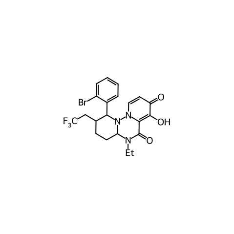 CCN1C(=O)c2c(O)c(=O)ccn2N2C(c3ccccc3Br)C(CC(F)(F)F)CCC12